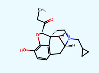 CCC(=O)[C@@H]1Oc2c(O)ccc3c2[C@@]12CCN(CC1CC1)[C@H](C3)[C@@]2(C)O